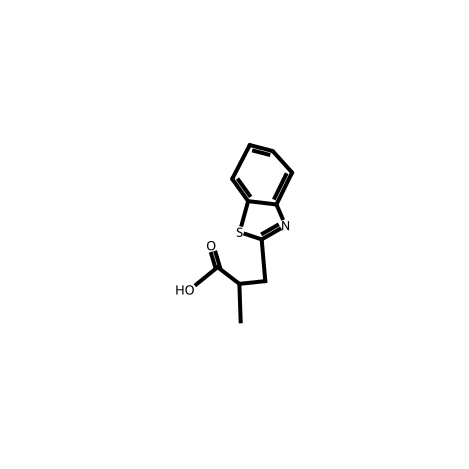 CC(Cc1nc2ccccc2s1)C(=O)O